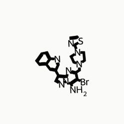 Nc1c(Br)c(CN2CCN(c3nccs3)CC2)nc2c(-c3cnc4ccccc4c3)cnn12